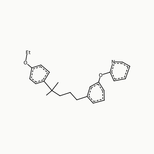 CCOc1ccc(C(C)(C)CCCc2cccc(Oc3ccccn3)c2)cc1